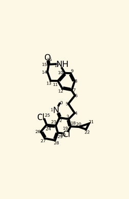 C/N=C(\C(CCCc1ccc2c(c1)CCC(=O)N2)=C(/C)C1CC1)c1c(Cl)cccc1Cl